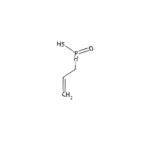 C=CC[PH](=O)S